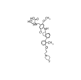 CCOc1cc(NC2CCc3c(-c4cccc(OCCCN5CCC(F)CC5)c4C)cccc32)c(Cl)cc1CN[C@@H](CO)C(=O)O